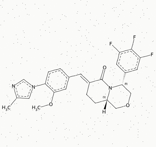 COc1cc(C=C2CC[C@H]3COC[C@@H](c4cc(F)c(F)c(F)c4)N3C2=O)ccc1-n1cnc(C)c1